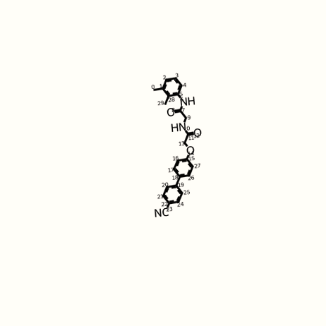 Cc1cccc(NC(=O)CNC(=O)COc2ccc(-c3ccc(C#N)cc3)cc2)c1C